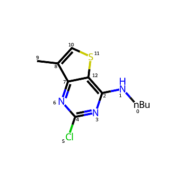 CCCCNc1nc(Cl)nc2c(C)csc12